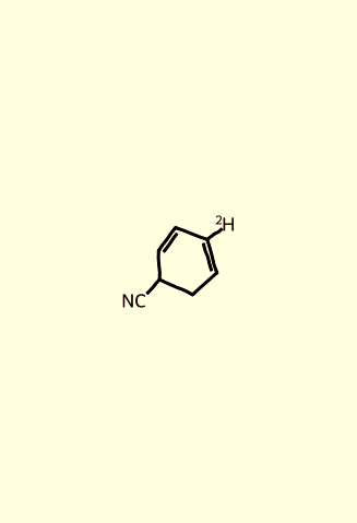 [2H]C1=CCC(C#N)C=C1